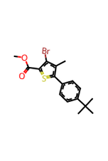 COC(=O)c1sc(-c2ccc(C(C)(C)C)cc2)c(C)c1Br